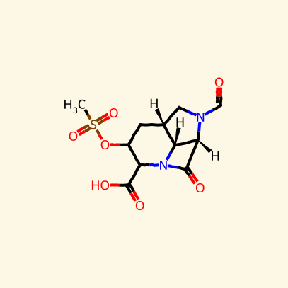 CS(=O)(=O)OC1C[C@@H]2CN(C=O)[C@@H]3C(=O)N(C1C(=O)O)[C@H]23